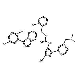 CN(C)Cc1cccc(-n2nc(C(C)(C)C)cc2NC(=O)NCc2ccccc2Sc2ccc3nnc(-c4cc(Cl)ccc4O)n3c2)c1